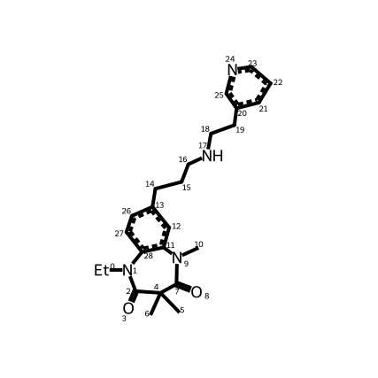 CCN1C(=O)C(C)(C)C(=O)N(C)c2cc(CCCNCCc3cccnc3)ccc21